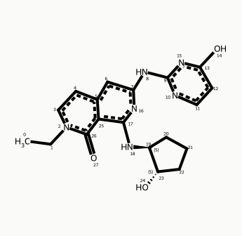 CCn1ccc2cc(Nc3nccc(O)n3)nc(N[C@H]3CCC[C@@H]3O)c2c1=O